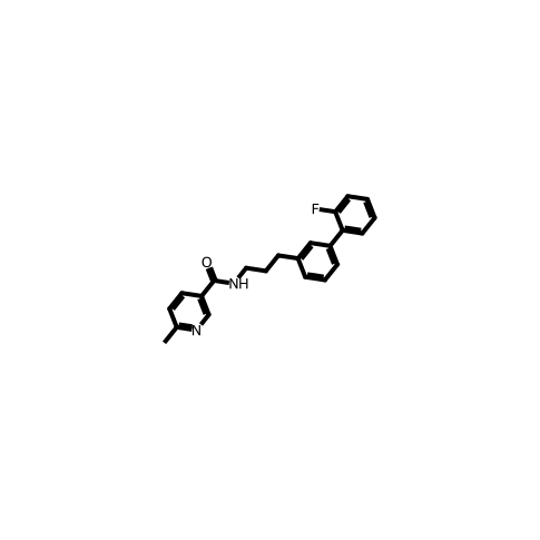 Cc1ccc(C(=O)NCCCc2cccc(-c3ccccc3F)c2)cn1